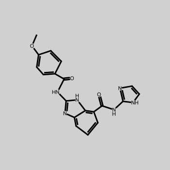 COc1ccc(C(=O)Nc2nc3cccc(C(=O)Nc4ncc[nH]4)c3[nH]2)cc1